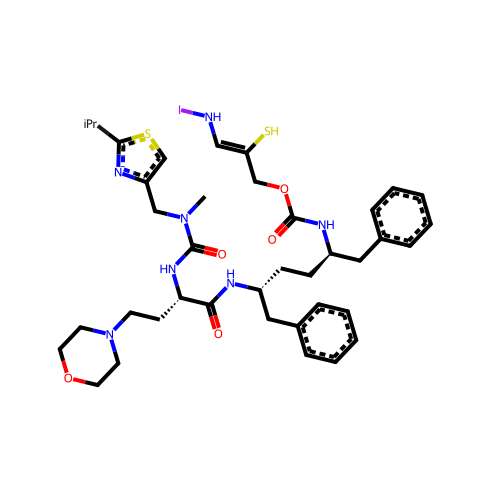 CC(C)c1nc(CN(C)C(=O)N[C@@H](CCN2CCOCC2)C(=O)N[C@H](CC[C@H](Cc2ccccc2)NC(=O)OC/C(S)=C/NI)Cc2ccccc2)cs1